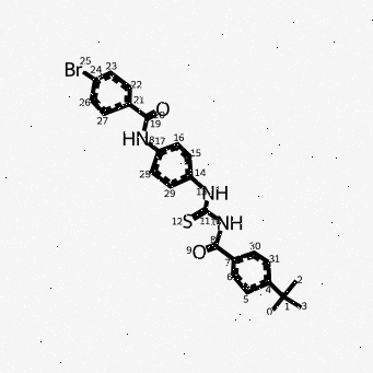 CC(C)(C)c1ccc(C(=O)NC(=S)Nc2ccc(NC(=O)c3ccc(Br)cc3)cc2)cc1